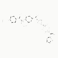 O=C(c1ccc2c(c1)CCCN2C(=O)c1ccc(C(F)(F)F)cc1)N1CC(N2CCN(C(=O)c3nccs3)CC2)C1